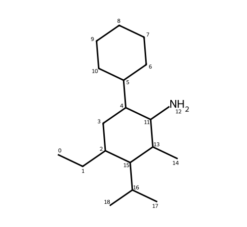 CCC1CC(C2CCCCC2)C(N)C(C)C1C(C)C